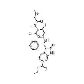 CCOC(=O)c1ccc2c(c1)NC(=O)/C2=C(\Nc1cc(Cl)c(N(C)C(=O)CN(C)C)c(Cl)c1)c1ccccc1